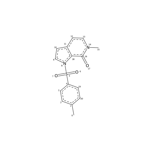 Cc1ccc(S(=O)(=O)n2ccc3ccn(C)c(=O)c32)cc1